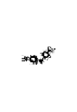 Brc1ccc([C@H]2C[C@@H]2c2ccc(Br)cc2)cc1